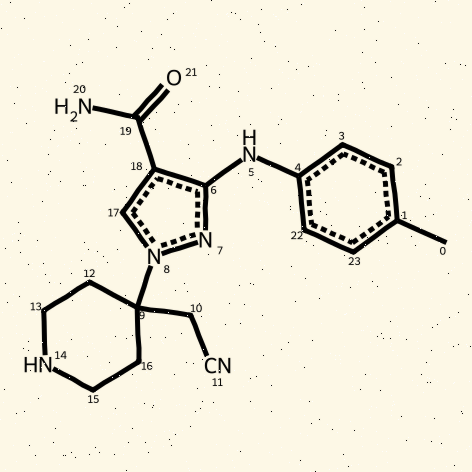 Cc1ccc(Nc2nn(C3(CC#N)CCNCC3)cc2C(N)=O)cc1